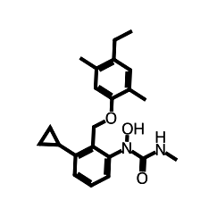 CCc1cc(C)c(OCc2c(C3CC3)cccc2N(O)C(=O)NC)cc1C